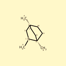 CN1C[C@]2(C)CC[C@@]1(C)CC2